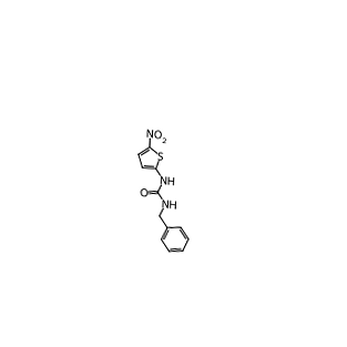 O=C(NCc1ccccc1)Nc1ccc([N+](=O)[O-])s1